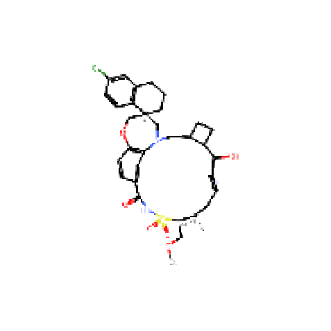 CCOC[C@@H]1[C@@H](C)C/C=C/C(O)C2CCC2CN2C[C@@]3(CCCc4cc(Cl)ccc43)COc3ccc(cc32)C(=O)NS1(=O)=O